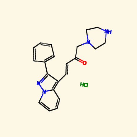 Cl.O=C(/C=C/c1c(-c2ccccc2)nn2ccccc12)CN1CCNCC1